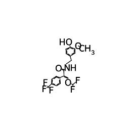 COc1cc(CCNC(=O)C(=COC(F)F)c2ccc(C(F)(F)F)cc2)ccc1O